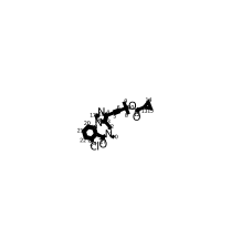 CN1Cc2c(C#CC(C)(C)OC(=O)C3CC3)ncn2-c2cccc(Cl)c2C1=O